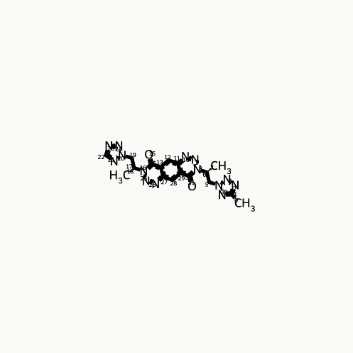 Cc1nnn(C[C@@H](C)n2nnc3cc4c(=O)n([C@H](C)Cn5ncnn5)nnc4cc3c2=O)n1